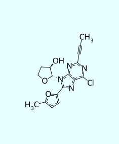 CC#Cc1nc(Cl)c2nc(-c3ccc(C)o3)n([C@@H]3OCC[C@H]3O)c2n1